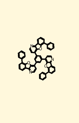 c1ccc(-c2cccc3c2oc2c(-c4cc(-c5ccnc6c5oc5c(-c7ccccc7)cccc56)cc(-c5ccnc6c5oc5c(-c7ccccc7)cccc56)c4)ccnc23)cc1